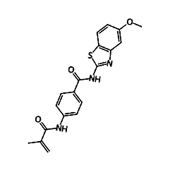 C=C(C)C(=O)Nc1ccc(C(=O)Nc2nc3cc(OC)ccc3s2)cc1